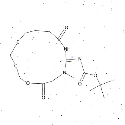 CN1CC(=O)OCCCCCCCC(=O)N/C1=N/C(=O)OC(C)(C)C